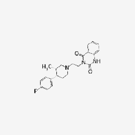 C[C@@H]1CN(CCn2c(=O)[nH]c3ccccc3c2=O)CC[C@@H]1c1ccc(F)cc1